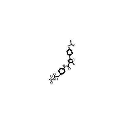 Cc1oc(-c2ccc(OC(F)F)cc2)cc1C(=O)Nc1ccc(CC(=O)NS(C)(=O)=O)cc1